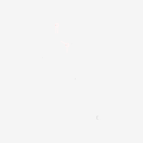 CCC=CCCCC1CCCC(=O)O1